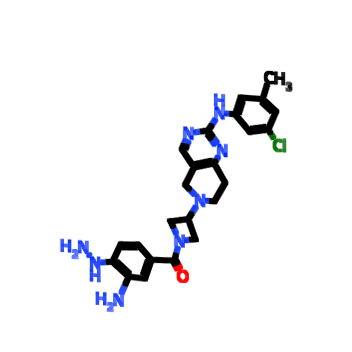 Cc1cc(Cl)cc(Nc2ncc3c(n2)CCN(C2CN(C(=O)c4ccc(NN)c(N)c4)C2)C3)c1